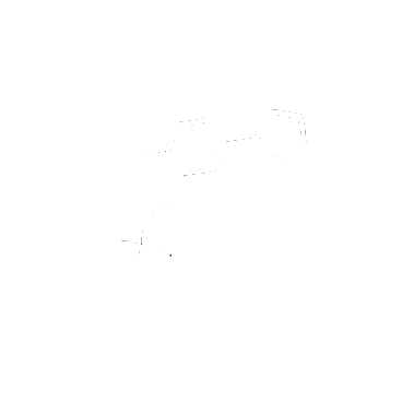 CC1(C)OB(c2cc(-n3cccn3)ccc2F)OC1(C)C